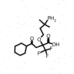 CC(C)(P)CCOC(CC(=O)C1CCCCC1)(C(=O)O)C(F)(F)F